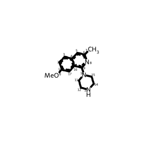 COc1ccc2cc(C)nc(N3CCNCC3)c2c1